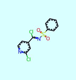 O=S(=O)(/N=C(\Cl)c1ccnc(Cl)c1)c1ccccc1